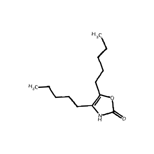 CCCCCc1[nH]c(=O)oc1CCCCC